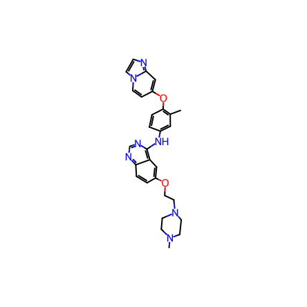 Cc1cc(Nc2ncnc3ccc(OCCN4CCN(C)CC4)cc23)ccc1Oc1ccn2ccnc2c1